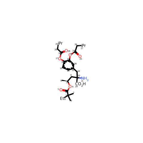 CCC(C)(C)C(=O)O[C@@H](C)CC(N)(Cc1ccc(OC(=O)CC(C)C)c(OC(=O)CC(C)C)c1)C(=O)O